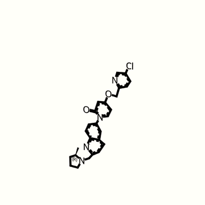 C[C@@H]1CCCN1Cc1ccc2cc(-n3ccc(OCc4ccc(Cl)cn4)cc3=O)ccc2n1